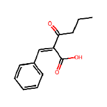 CCCC(=O)C(=Cc1ccccc1)C(=O)O